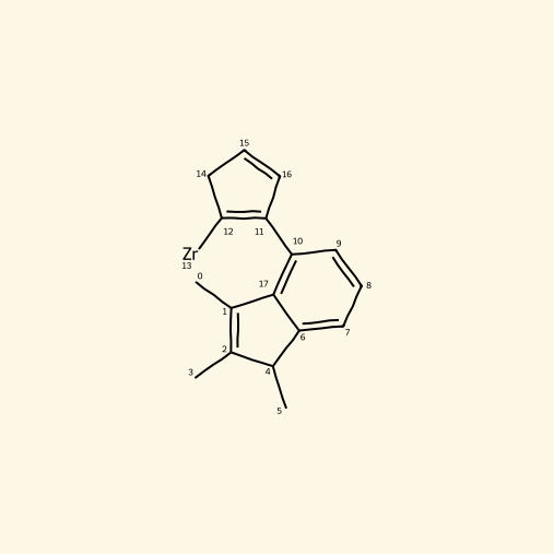 CC1=C(C)C(C)c2cccc(C3=[C]([Zr])CC=C3)c21